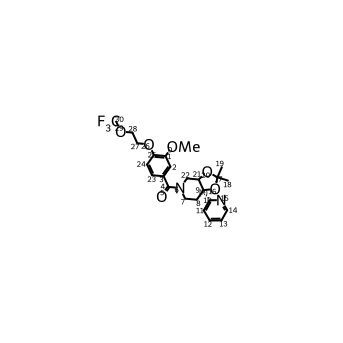 COc1cc(C(=O)N2CC[C@]3(c4ccccn4)OC(C)(C)OC3C2)ccc1OCCOC(F)(F)F